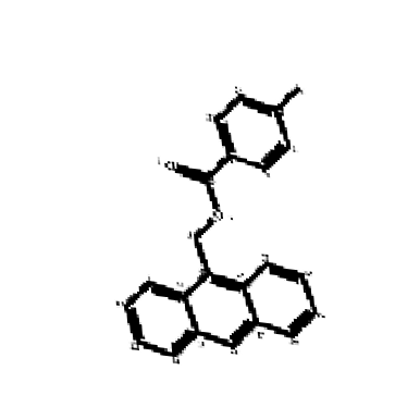 Cc1ccc(C(=O)OCc2c3ccccc3cc3ccccc23)cc1